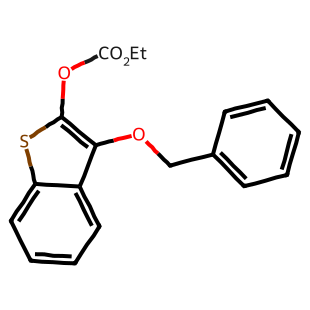 CCOC(=O)Oc1sc2ccccc2c1OCc1ccccc1